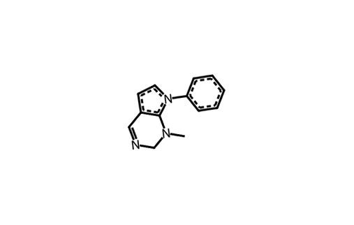 CN1CN=Cc2ccn(-c3ccccc3)c21